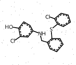 Oc1ccc(NCc2ccccc2Sc2ccccc2Cl)cc1Cl